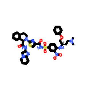 CN(C)CC[C@H](COc1ccccc1)Nc1ccc(S(=O)(=O)NC(=O)c2csc(N3CCc4ccccc4C3C(=O)Nc3cn4ccccc4n3)n2)cc1[N+](=O)[O-]